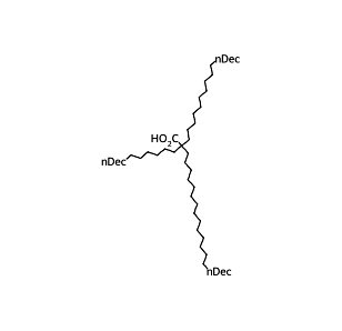 CCCCCCCCCCCCCCCCCCCCCCCCC(CCCCCCCCCCCCCCCC)(CCCCCCCCCCCCCCCCCCCC)C(=O)O